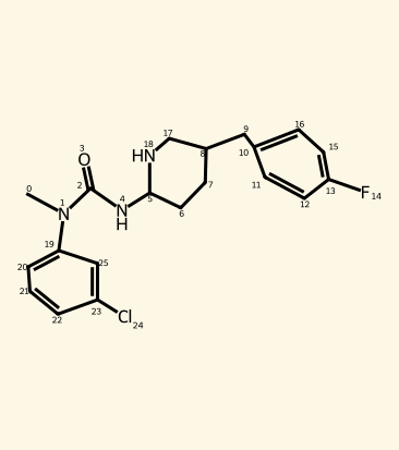 CN(C(=O)NC1CCC(Cc2ccc(F)cc2)CN1)c1cccc(Cl)c1